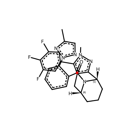 Cc1cnn(-c2ccccc2C(=O)N2[C@@H]3CCC[C@H]2c2nn(C)c(-c4cc(F)c(F)c(F)c4)c2C3)n1